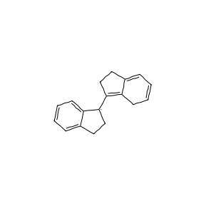 C1=CCC2=C([C]3CCc4ccccc43)CCC2=C1